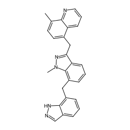 Cc1ccc(Cc2nn(C)c3c(Cc4cccc5cn[nH]c45)cccc23)c2cccnc12